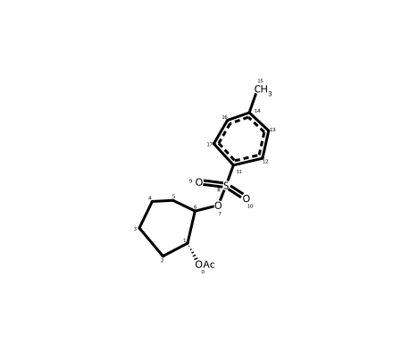 CC(=O)O[C@@H]1CCCCC1OS(=O)(=O)c1ccc(C)cc1